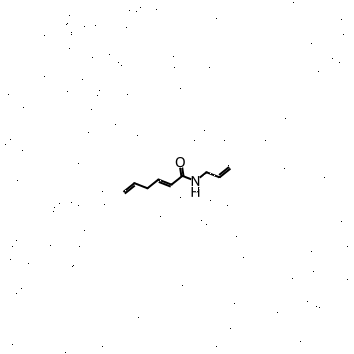 C=CCC=CC(=O)NCC=C